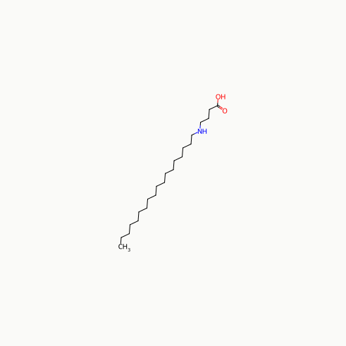 CCCCCCCCCCCCCCCCCCNCCCC(=O)O